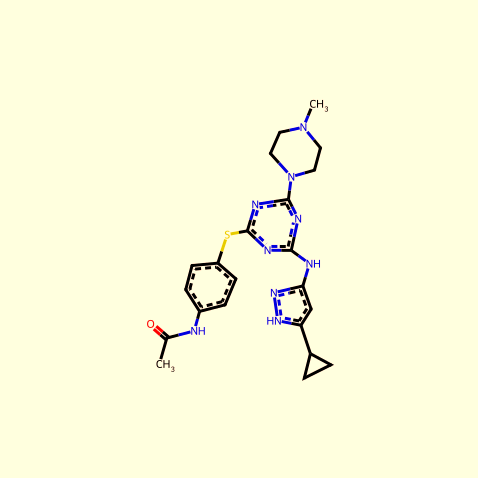 CC(=O)Nc1ccc(Sc2nc(Nc3cc(C4CC4)[nH]n3)nc(N3CCN(C)CC3)n2)cc1